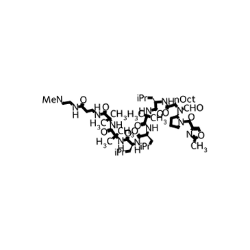 CCCCCCCC[C@@H](C(=O)N[C@@H](CC(C)C)C(=O)NC(C)(C)C(=O)N[C@@H](CC(C)C)C(=O)N[C@@H](CC(C)C)C(=O)NC(C)(C)C(=O)NC(C)(C)C(=O)NCCC(=O)NCCNC)N(C=O)[C@@H]1CCCN1C(=O)c1coc(C)n1